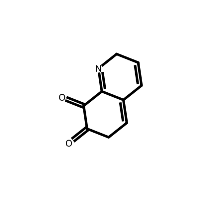 O=C1CC=C2C=CCN=C2C1=O